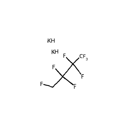 FCC(F)(F)C(F)(F)C(F)(F)F.[KH].[KH]